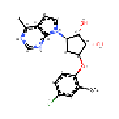 CC(=O)Oc1cc(Cl)ccc1O[C@H]1C[C@@H](n2ccc3c(C)ncnc32)[C@H](O)[C@@H]1O